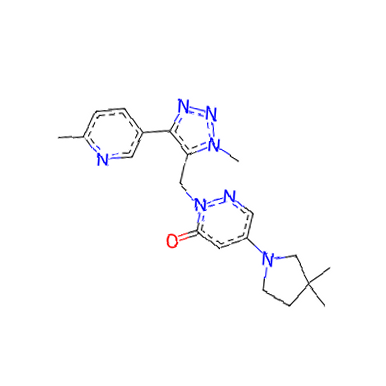 Cc1ccc(-c2nnn(C)c2Cn2ncc(N3CCC(C)(C)C3)cc2=O)cn1